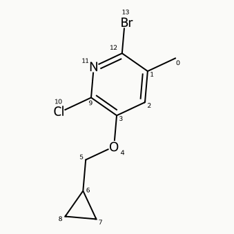 Cc1cc(OCC2CC2)c(Cl)nc1Br